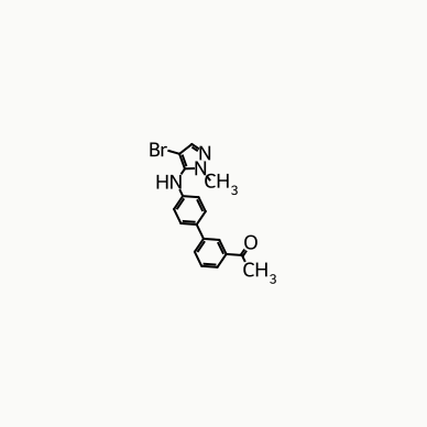 CC(=O)c1cccc(-c2ccc(Nc3c(Br)cnn3C)cc2)c1